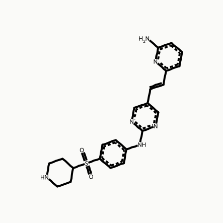 Nc1cccc(/C=C/c2cnc(Nc3ccc(S(=O)(=O)C4CCNCC4)cc3)nc2)n1